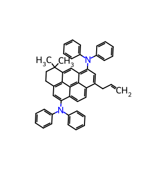 C=CCc1cc(N(c2ccccc2)c2ccccc2)c2cc3c4c(cc(N(c5ccccc5)c5ccccc5)c5ccc1c2c54)CCC3(C)C